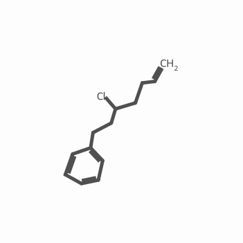 C=CCCC(Cl)CCc1ccccc1